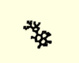 CC(N)C1CN(C2C(F)=Cc3c(n(C4CC4)c(=O)[nH]c3=O)C2C)CC1(F)F